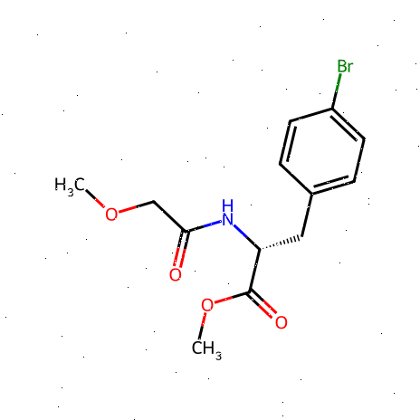 COCC(=O)N[C@H](Cc1ccc(Br)cc1)C(=O)OC